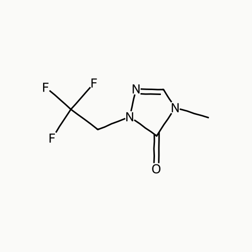 Cn1cnn(CC(F)(F)F)c1=O